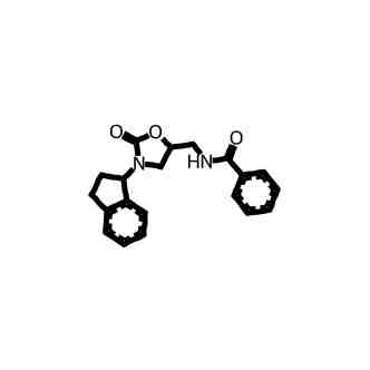 O=C(NCC1CN(C2CCc3ccccc32)C(=O)O1)c1ccccc1